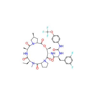 CC[C@H]1C(=O)N[C@@H](C)C(=O)N2C[C@@H](C)CC2C(=O)O[C@@H](C)[C@H](NC(=O)[C@H](Cc2cc(F)cc(F)c2)NC(=O)Nc2ccc(OC(F)(F)F)cc2)C(=O)N2CCCC2C(=O)N1C